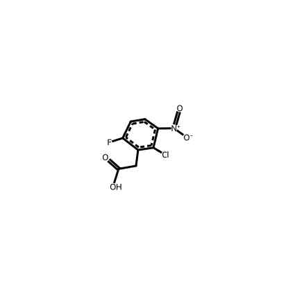 O=C(O)Cc1c(F)ccc([N+](=O)[O-])c1Cl